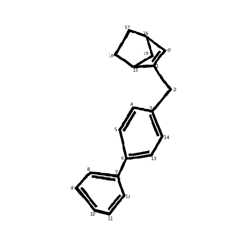 C1=C(Cc2ccc(-c3ccccc3)cc2)C2CCC1C2